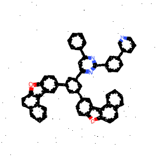 c1ccc(-c2cc(-c3cc(-c4ccc5oc6ccc7ccccc7c6c5c4)cc(-c4ccc5oc6ccc7ccccc7c6c5c4)c3)nc(-c3cccc(-c4cccnc4)c3)n2)cc1